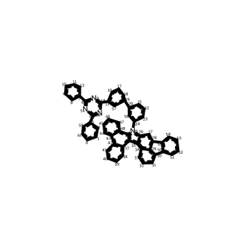 c1ccc(-c2nc(-c3ccccc3)nc(-c3cccc(-c4cccc(-n5c6cc7c8c(cccc8c6c6c8ccccc8c8ccccc8c65)-c5ccccc5-7)c4)c3)n2)cc1